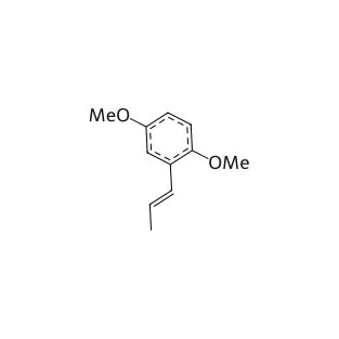 CC=Cc1cc(OC)ccc1OC